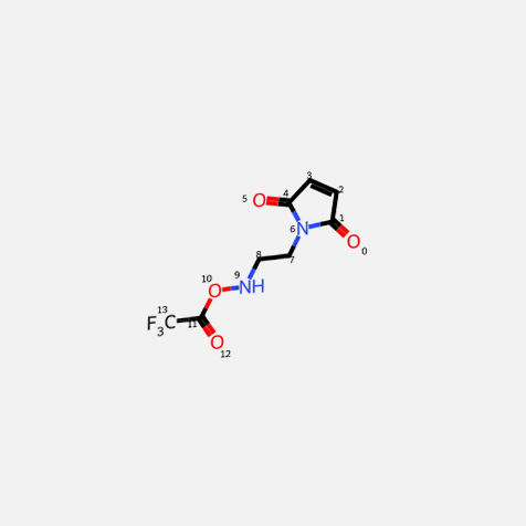 O=C1C=CC(=O)N1CCNOC(=O)C(F)(F)F